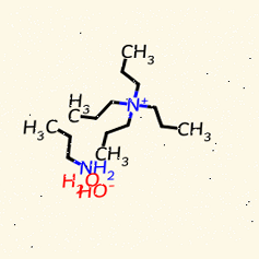 CCCN.CCC[N+](CCC)(CCC)CCC.O.[OH-]